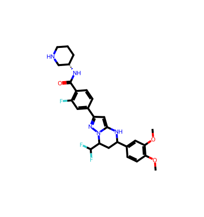 COc1ccc(C2CC(C(F)F)n3nc(-c4ccc(C(=O)N[C@H]5CCCNC5)c(F)c4)cc3N2)cc1OC